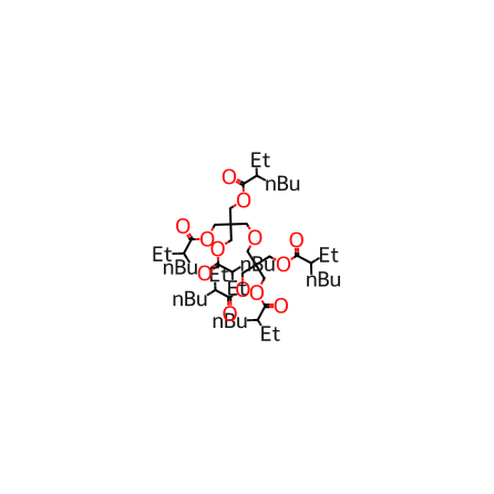 CCCCC(CC)C(=O)OCC(COCC(COC(=O)C(CC)CCCC)(COC(=O)C(CC)CCCC)COC(=O)C(CC)CCCC)(COC(=O)C(CC)CCCC)COC(=O)C(CC)CCCC